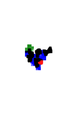 CC(c1ccc(C(F)(F)F)nc1)n1nc(C#N)c2c(=O)[nH]c([C@H]3CC[C@@H]3n3cc(C4CC4)cn3)nc21